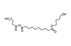 O=C(O)CCC(=O)OC(=O)CCCCCCCCC(=O)OCCCCO